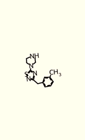 Cc1cccc(Cc2nsc(N3CCNCC3)n2)c1